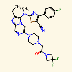 CCc1nc2cnc(N3CCN(CC(=O)N4CC(F)(F)C4)CC3)cn2c1N(C)c1nc(-c2ccc(F)cc2)c(C#N)s1